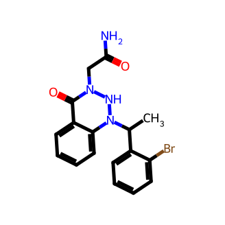 CC(c1ccccc1Br)N1NN(CC(N)=O)C(=O)c2ccccc21